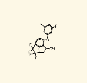 Cc1cc(F)cc(Oc2ccc3c4c2C(O)CC4C(F)(F)C3(F)F)c1